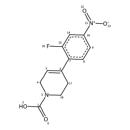 O=C(O)N1CC=C(c2ccc([N+](=O)[O-])cc2F)CC1